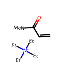 C=CC(=O)NC.CC[N+](CC)(CC)CC